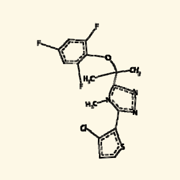 Cn1c(-c2sccc2Cl)nnc1C(C)(C)Oc1c(F)cc(F)cc1F